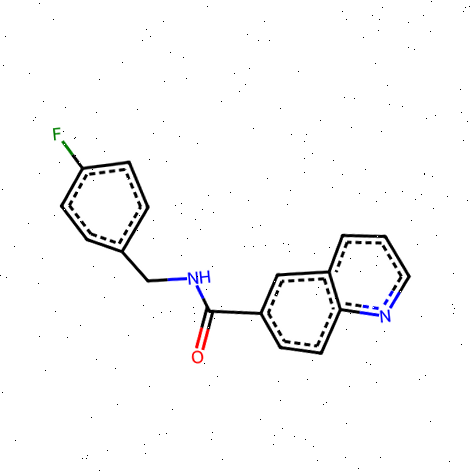 O=C(NCc1ccc(F)cc1)c1ccc2ncccc2c1